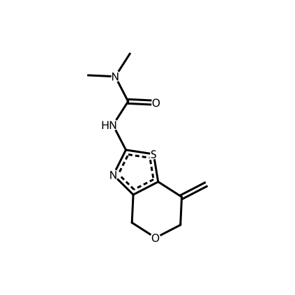 C=C1COCc2nc(NC(=O)N(C)C)sc21